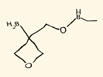 BC1(COBC)COC1